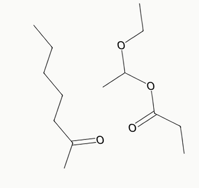 CCCCCC(C)=O.CCOC(C)OC(=O)CC